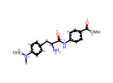 COC(=O)c1ccc(NC(=O)C(N)Cc2ccc(N(C)C=O)cc2)cc1